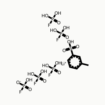 Cc1cccc(S(=O)(=O)O)c1.O=P(O)(O)F.O=P(O)(O)F.O=P(O)(O)F.O=P(O)(O)F.O=P([O-])(O)F.[Li+]